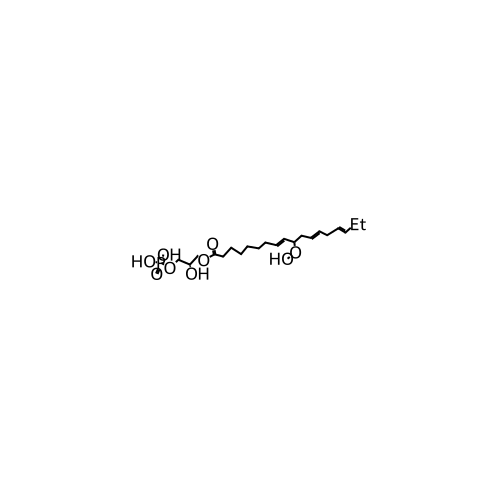 CCC=CCC=CCC(C=CCCCCCCC(=O)OC[C@H](O)COP(=O)(O)O)OO